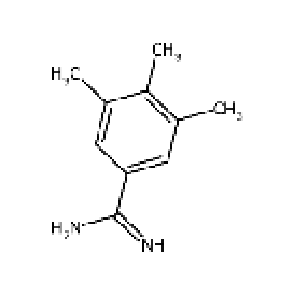 Cc1cc(C(=N)N)cc(C)c1C